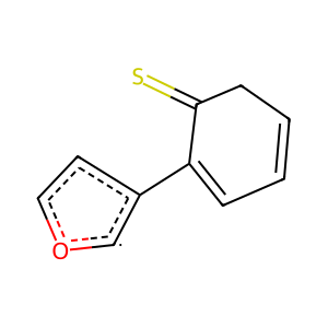 S=C1CC=CC=C1c1[c]occ1